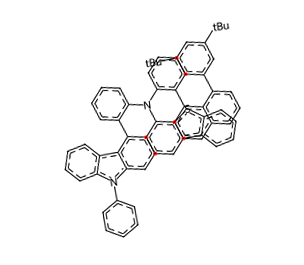 CC(C)(C)c1cc(-c2cccc3cccc(-c4ccccc4N(c4ccccc4-c4cccc5c4c4ccccc4n5-c4ccccc4)c4cccc5c4sc4ccccc45)c23)cc(C(C)(C)C)c1